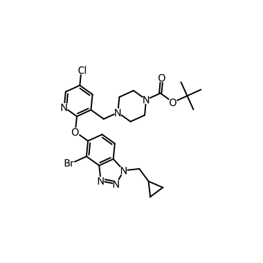 CC(C)(C)OC(=O)N1CCN(Cc2cc(Cl)cnc2Oc2ccc3c(nnn3CC3CC3)c2Br)CC1